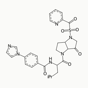 CC(C)CC(NC(=O)c1ccc(-n2ccnc2)cc1)C(=O)N1CCC2C1C(=O)CN2S(=O)(=O)C(=O)c1ccccn1